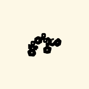 C[C@@H](COC(=O)N1CCC(Oc2nc3ccccc3n2C)CC1)N(Cc1ccccc1)Cc1ccccc1